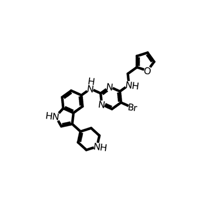 Brc1cnc(Nc2ccc3[nH]cc(C4=CCNCC4)c3c2)nc1NCc1ccco1